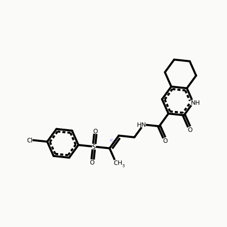 C/C(=C\CNC(=O)c1cc2c([nH]c1=O)CCCC2)S(=O)(=O)c1ccc(Cl)cc1